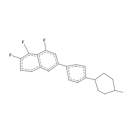 CC1CCC(c2ccc(-c3cc(F)c4c(F)c(F)ccc4c3)cc2)CC1